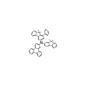 CC1(C)c2ccccc2-c2ccc(N(c3cc(-c4ccccc4)c4c(c3)-c3ccccc3C4(C)C)c3ccc4c5ccccc5c5ccccc5c4c3)cc21